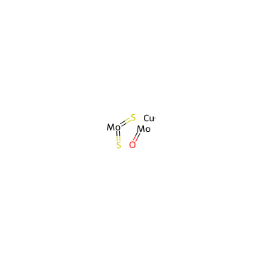 [Cu].[O]=[Mo].[S]=[Mo]=[S]